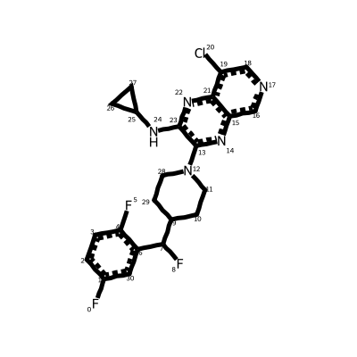 Fc1ccc(F)c(C(F)C2CCN(c3nc4cncc(Cl)c4nc3NC3CC3)CC2)c1